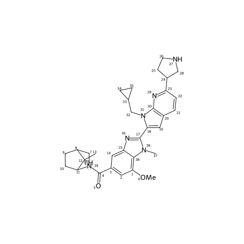 COc1cc(C(=O)N2CC3CCC2[C@@H]3C)cc2nc(-c3cc4ccc(C5CCNC5)nc4n3CC3CC3)n(C)c12